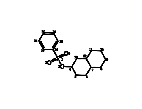 O=S(=O)(OC1CCC2CCCCC2C1)c1ccccc1